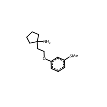 CSc1cccc(OCCC2(N)CCCC2)c1